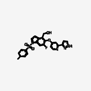 Cc1ccc(S(=O)(=O)n2ccc3c(CO)c(Oc4ccnc(-c5cc[nH]n5)c4)c(F)cc32)cc1